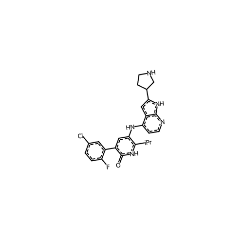 CC(C)c1[nH]c(=O)c(-c2cc(Cl)ccc2F)cc1Nc1ccnc2[nH]c(C3CCNC3)cc12